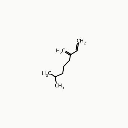 C=CC(=C)CCC[C](C)C